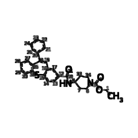 CCOC(=O)N1CCC(NC(=O)c2ccc3c(c2)C=C(c2ccccc2)c2ccccc2S3)CC1